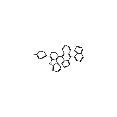 Cc1ccc(-c2ccc(-c3c4ccccc4c(-c4cccc5ccccc45)c4ccccc34)c3c2oc2ccccc23)cc1